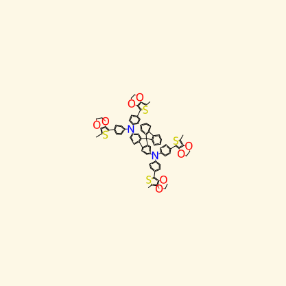 Cc1sc(-c2ccc(N(c3ccc(-c4sc(C)c5c4OCCO5)cc3)c3ccc4c(c3)C3(c5ccccc5-c5ccccc53)c3cc(N(c5ccc(-c6sc(C)c7c6OCCO7)cc5)c5ccc(-c6sc(C)c7c6OCCO7)cc5)ccc3-4)cc2)c2c1OCCO2